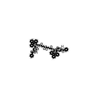 O=C(CCC(=O)OC(=O)CCC(=O)OC[C@@H]1CN(C(c2ccccc2)(c2ccccc2)c2ccccc2)C[C@H](n2ccc(NC(=O)c3ccccc3)nc2=O)O1)OC[C@@H]1CN(C(c2ccccc2)(c2ccccc2)c2ccccc2)C[C@H](n2ccc(NC(=O)c3ccccc3)nc2=O)O1